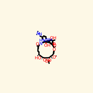 CO[C@H]1/C=C/O[C@@]2(C)Oc3c(C)c(O)c4c(O)c(c5c(c4c3C2=O)NC2C=CC(/C=N/N(C)C)=CN52)NC(=O)/C(C)=C\C=C\[C@H](C)[C@H](O)[C@@H](C)[C@@H](O)[C@@H](C)[C@H](OC(C)=O)[C@@H]1C